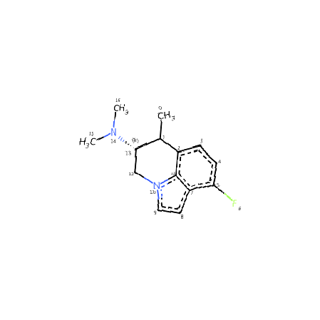 CC1c2ccc(F)c3ccn(c23)C[C@@H]1N(C)C